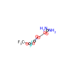 Nc1cc(N)cc(C(=O)OCCCCCCOC(=O)/C=C/c2ccc(OC(F)(F)c3ccc(OCCCC(F)(F)F)cc3F)cc2)c1